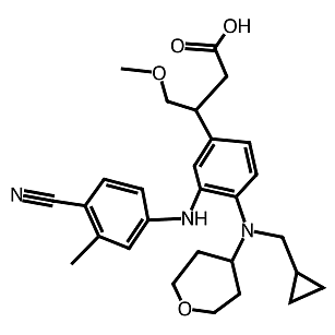 COCC(CC(=O)O)c1ccc(N(CC2CC2)C2CCOCC2)c(Nc2ccc(C#N)c(C)c2)c1